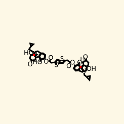 O=C1CCC2(O)C3Cc4ccc(OC(=O)Cc5cc6sc(CC(=O)Oc7ccc8c9c7O[C@H]7C(=O)CCC%10(O)C(C8)N(CC8CC8)CCC97%10)cc6s5)c(O)c4C2(CCN3CC2CC2)C1